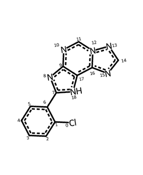 Clc1ccccc1-c1nc2ncn3ncnc3c2[nH]1